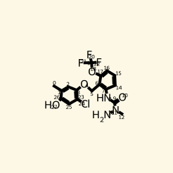 Cc1cc(OCc2c(NC(=O)N(C)N)cccc2OC(F)(F)F)c(Cl)cc1O